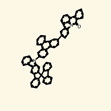 O=c1c2ccccc2c2cccc3c4cc(-c5ccc6c7ccc(-n8c9ccccc9c9cc%10c(cc98)C8(c9ccccc9-c9ccccc98)c8ccccc8-%10)cc7c7ccccc7c6c5)ccc4n1c23